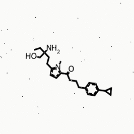 CCC(N)(CO)CCc1ccc(C(=O)CCCc2ccc(C3CC3)cc2)n1C